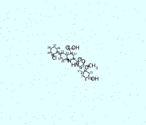 COC(=O)[C@H](Cc1ccc(O)cc1)NC(=O)c1cc(C(=O)O)c2cc(-c3ccccc3Cl)ccc2n1